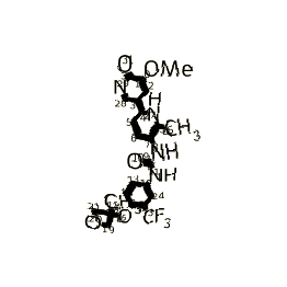 COC1=CC(=C2C=CC(NC(=O)Nc3ccc(OC4(C)COC4)c(C(F)(F)F)c3)=C(C)N2)C=NC1=O